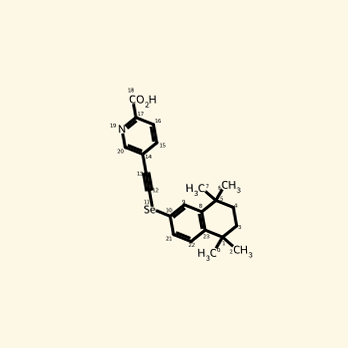 CC1(C)CCC(C)(C)c2cc([Se]C#Cc3ccc(C(=O)O)nc3)ccc21